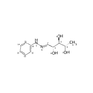 C[C@H](O)[C@H](O)[C@H](O)C=NNc1ccccc1